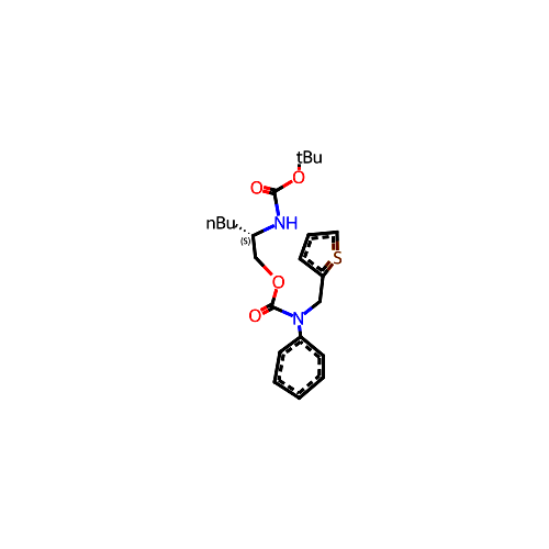 CCCC[C@@H](COC(=O)N(Cc1cccs1)c1ccccc1)NC(=O)OC(C)(C)C